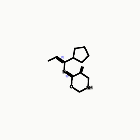 C=C1CNCO/C1=N/C(=C\C)C1CCCC1